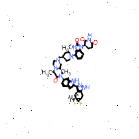 C[C@@H](C(=O)N(C)c1ccc2cc(-c3n[nH]c4c3C[C@@H]3C(F)(F)[C@]3(C)C4)[nH]c2c1)N1CCN(CC2CCN(c3cccc4c3n(C)c(=O)n4C3CCC(=O)NC3=O)CC2)CC1